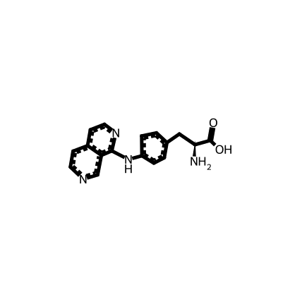 N[C@@H](Cc1ccc(Nc2nccc3ccncc23)cc1)C(=O)O